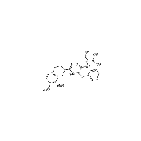 COc1ccc2c(c1OC)CC(C(=O)N[C@@H](Cc1ccccc1)C(=O)N[C@@H](CC(C)C)B(O)O)CC2